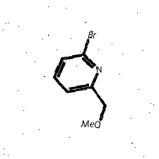 COCc1cccc(Br)n1